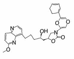 COc1ccc2nccc(CCC[C@@H](O)C[C@H]3CN(C4=COC=C(C5=CC=CCC5)O4)C(=O)O3)c2n1